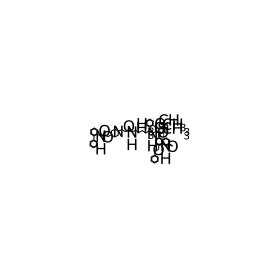 CC(C)(C)[Si](C)(C)O[C@H](c1ccc(OCc2ccccc2)c2[nH]c(=O)ccc12)C(Cc1ccccc1)NCCCCCNC(=O)CCN1CCC(OC(=O)Nc2ccccc2-c2ccccc2)CC1